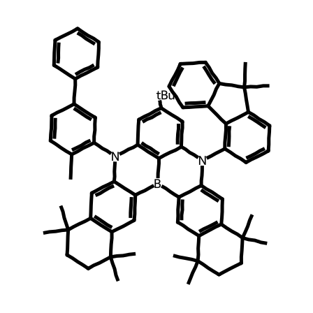 Cc1ccc(-c2ccccc2)cc1N1c2cc3c(cc2B2c4cc5c(cc4N(c4cccc6c4-c4ccccc4C6(C)C)c4cc(C(C)(C)C)cc1c42)C(C)(C)CCC5(C)C)C(C)(C)CCC3(C)C